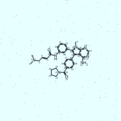 CN(C)C/C=C/C(=O)Nc1cccc(-c2c(-c3ccc(C(=O)N4CCCC4)cc3)c3c(N)ncnc3n2C)c1